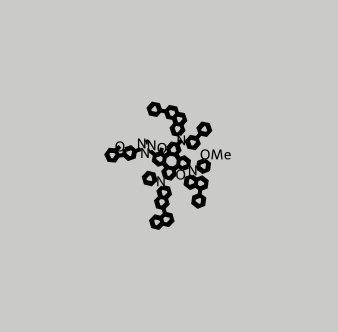 COc1cccc(N(c2cccc3c(-c4ccccc4)cccc23)c2ccc3c4cc(N(c5cccc(-c6ccccc6)c5)c5ccc6c(ccc7ccc(-c8ccccc8)cc76)c5)cc5oc6c(-c7ncnc(-c8ccc9c(c8)oc8ccccc89)n7)ccc(c7cc(N(c8ccccc8)c8ccc9cc(-c%10cccc%11ccccc%10%11)ccc9c8)cc8oc2c3c87)c6c54)c1